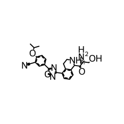 CC(C)Oc1ccc(-c2nc(-c3cccc4c3CCNC4C(=O)[C@H](N)CO)no2)cc1C#N